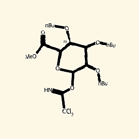 CCCCOC1C(OC(=N)C(Cl)(Cl)Cl)OC(C(=O)OC)[C@@H](OCCCC)C1OCCCC